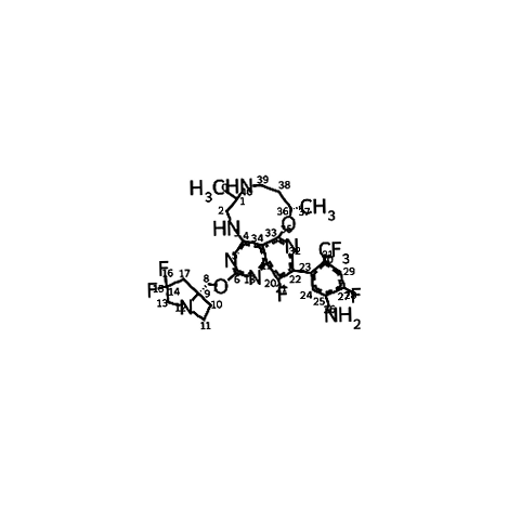 CC1CNc2nc(OC[C@]34CCN3CC(F)(F)C4)nc3c(F)c(-c4cc(N)c(F)cc4C(F)(F)F)nc(c23)O[C@@H](C)CCN1